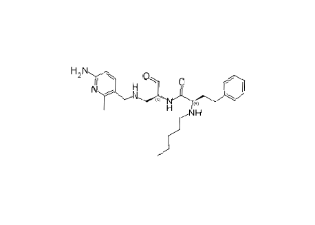 CCCCCN[C@H](CCc1ccccc1)C(=O)N[C@H](C=O)CNCc1ccc(N)nc1C